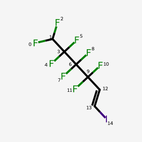 FC(F)C(F)(F)C(F)(F)C(F)(F)C=CI